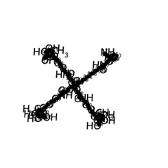 CC1C(OCCOCCOCCNC(=O)CCOCC(COCCC(=O)NCCOCCOCCOC2OC(CO)C(O)C(O)C2C)(COCCC(=O)NCCOCCOCCOC2OC(CO)C(O)C(O)C2C)CC(=O)CCCCCCCCCCC(=O)NCCOC2(OCCN)CCCCC2)OC(CO)C(O)C1O